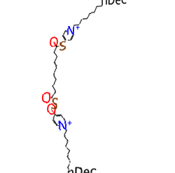 CCCCCCCCCCCCCCCCCC[n+]1ccc(OSC(=O)CCCCCCCCC(=O)Sc2cc[n+](CCCCCCCCCCCCCCCCCC)cc2)cc1